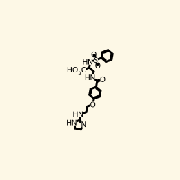 O=C(NCC(NS(=O)(=O)c1ccccc1)C(=O)O)c1ccc(OCCNC2=NCCN2)cc1